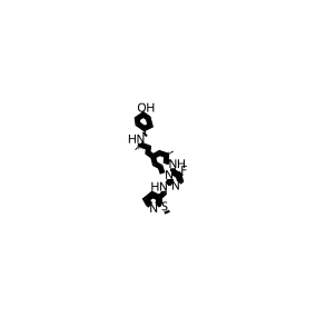 CCCC(CC[C@H](C)NC[C@H]1CC[C@H](O)CC1)C[C@H](C)CNc1nc(NCc2cccnc2SC)ncc1F